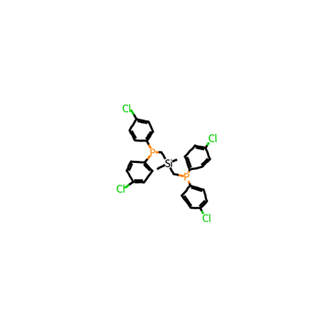 C[Si](C)(CP(c1ccc(Cl)cc1)c1ccc(Cl)cc1)CP(c1ccc(Cl)cc1)c1ccc(Cl)cc1